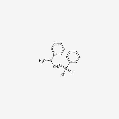 CN(C)[n+]1ccccc1.O=S(=O)([O-])c1ccccc1